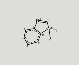 C[N+]1(C)C=Nc2ccccc21